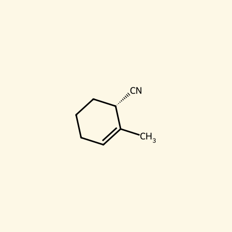 CC1=CCCC[C@@H]1C#N